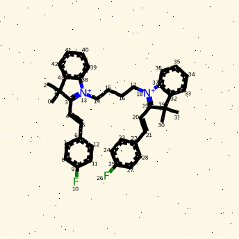 CC1(C)C(/C=C/c2ccc(F)cc2)=[N+](CCCC[N+]2=C(/C=C/c3ccc(F)cc3)C(C)(C)c3ccccc32)c2ccccc21